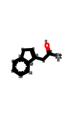 CCC(=O)CC1=CCc2ccccc21